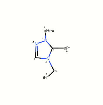 CCCCCCN1N=CN(CC(C)C)C1CCC